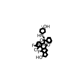 CNC(=O)c1cc2c(c(F)c1-c1c(Cl)c(F)cc3c1C[C@@](CN[C@H]1CC[C@](C)(O)CC1)(c1ccccc1)O3)C(O)CC2